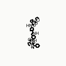 CN(C)[C@@H](C(=O)N1CCC[C@H]1C(=O)Nc1ccc2[nH]c(-c3ccc(NC(=O)C4CCCN4C(=O)[C@@H]4CCCO4)cc3)cc2c1)c1ccccc1